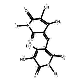 CCN1C(=O)C(C#N)=C(C)/C(=C/c2c(C)c(C#N)c(=O)n(CC)c2O)C1=O